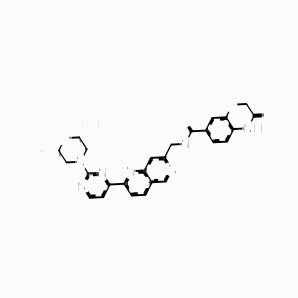 C[C@@H]1CN(c2nccc(-c3ccc4cnc(CNC(=O)c5ccc6c(c5)SCC(=O)N6)cc4n3)n2)C[C@H](C)O1